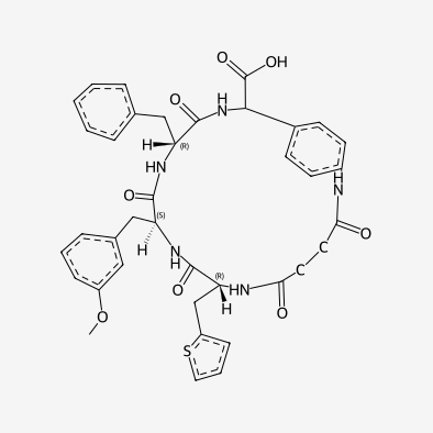 COc1cccc(C[C@@H]2NC(=O)[C@@H](Cc3cccs3)NC(=O)CCC(=O)Nc3ccc(cc3)C(C(=O)O)NC(=O)[C@@H](Cc3ccccc3)NC2=O)c1